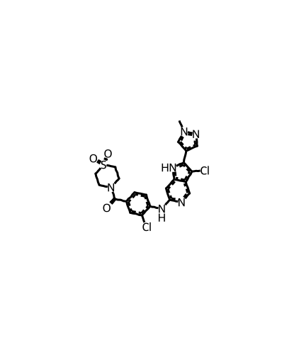 Cn1cc(-c2[nH]c3cc(Nc4ccc(C(=O)N5CCS(=O)(=O)CC5)cc4Cl)ncc3c2Cl)cn1